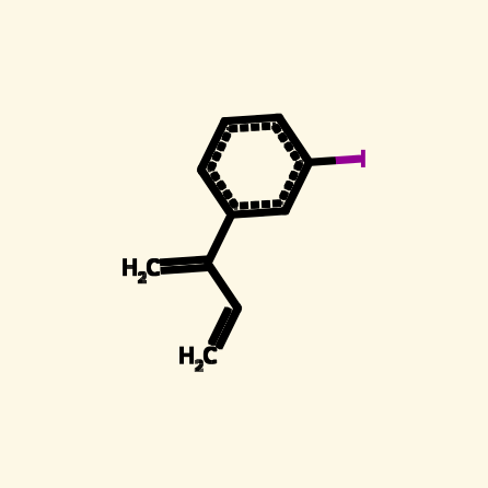 C=CC(=C)c1cccc(I)c1